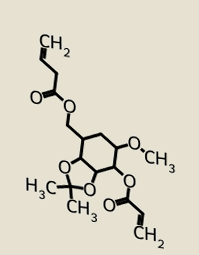 C=CCC(=O)OCC1CC(OC)C(OC(=O)C=C)C2OC(C)(C)OC12